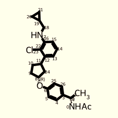 CC(=O)N[C@@H](C)c1ccc(O[C@@H]2CCC(c3cccc(NCC4CC4)c3Cl)C2)cc1